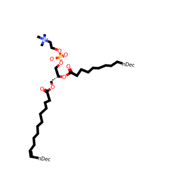 CCCCCCCCCC/C=C\CCCCCCCCCC(=O)OC[C@H](COP(=O)([O-])OCC[N+](C)(C)C)OC(=O)CCCCCCCCCCCCCCCCCC